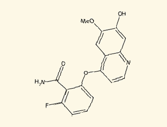 COc1cc2c(Oc3cc[c]c(F)c3C(N)=O)ccnc2cc1O